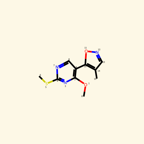 COc1nc(SC)ncc1-c1oncc1C